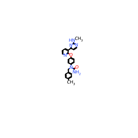 CNc1nccc(-c2cccnc2Oc2ccc(N(Cc3ccc(C)cc3)C(N)=O)cc2)n1